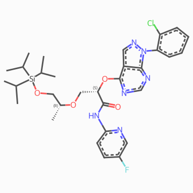 CC(C)[Si](OC[C@@H](C)OC[C@H](Oc1ncnc2c1cnn2-c1ccccc1Cl)C(=O)Nc1ccc(F)cn1)(C(C)C)C(C)C